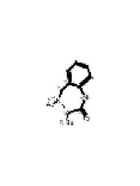 CC[C@H](C)[C@H]1C(=O)Nc2ccccc2CN1C(C)=O